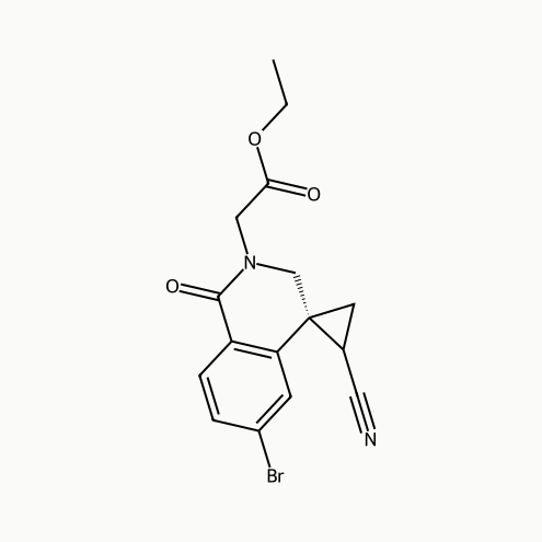 CCOC(=O)CN1C[C@@]2(CC2C#N)c2cc(Br)ccc2C1=O